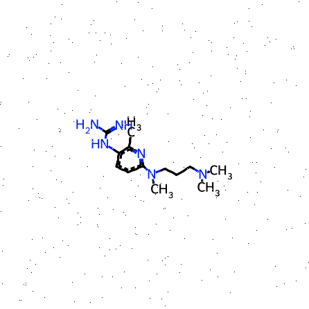 Cc1nc(N(C)CCCN(C)C)ccc1NC(=N)N